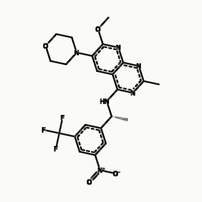 COc1nc2nc(C)nc(N[C@H](C)c3cc([N+](=O)[O-])cc(C(F)(F)F)c3)c2cc1N1CCOCC1